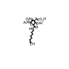 C#CCCCCCCNC(=O)C1O[C@@H](OC(C)=O)[C@H](OC(C)=O)[C@@H](CC(=O)O)[C@@H]1OC(C)=O